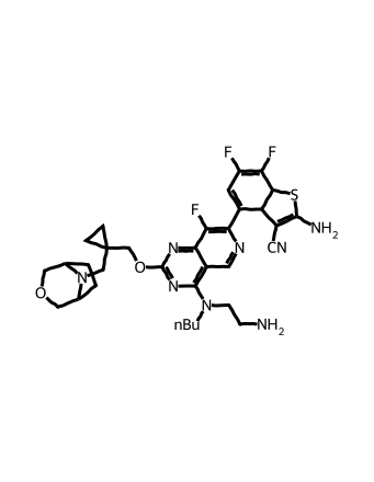 CCCCN(CCN)c1nc(OCC2(CN3C4CCC3COC4)CC2)nc2c(F)c(C3=CC(F)=C(F)C4SC(N)=C(C#N)C34)ncc12